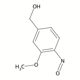 COc1cc(CO)ccc1N=O